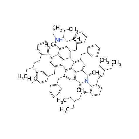 C=CNC(=C)c1cc(Cc2ccccc2)c2c3c(Cc4ccccc4)cc4c5c(cc(Cc6ccccc6)c(c6c(Cc7ccccc7)cc(-c7c(CCC(CC)CC)cccc7CCC(CC)CC)c1c26)c53)C(=C)N(c1c(CCC(CC)CC)cccc1CCC(CC)CC)C4=C